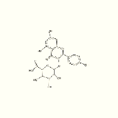 O=C(O)C1OC(Oc2c(-c3ccc(O)cc3)oc3cc(O)cc(O)c3c2=O)C(O)C(O)C1O